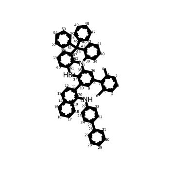 Cc1cccc(C)c1-c1cc(-c2ccc3ccccc3c2Nc2ccc(-c3ccccc3)cc2)c2c(c1)N1c3ccccc3C(c3ccccc3)(c3ccccc3)c3cccc(c31)B2